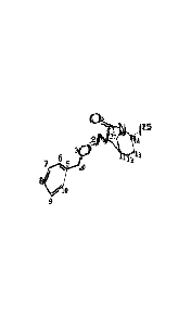 O=C1N(OCc2ccccc2)C2CC[C@@H](I)N1C2